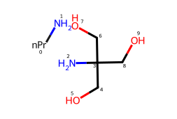 CCCN.NC(CO)(CO)CO